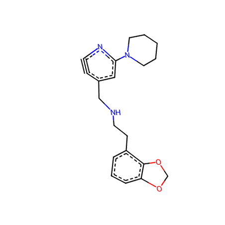 c1nc(N2CCCCC2)cc(CNCCc2cccc3c2OCO3)c#1